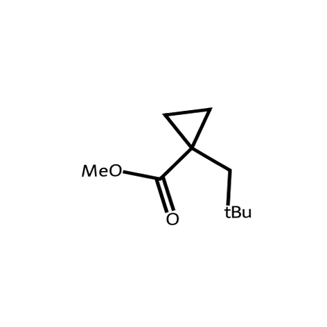 COC(=O)C1(CC(C)(C)C)CC1